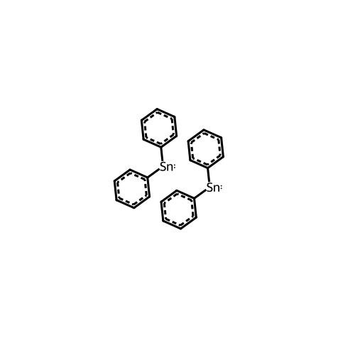 c1cc[c]([Sn][c]2ccccc2)cc1.c1cc[c]([Sn][c]2ccccc2)cc1